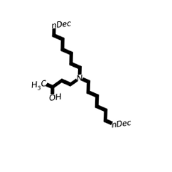 CCCCCCCCCCCCCCCCN(CCCCCCCCCCCCCCCC)CCC(C)O